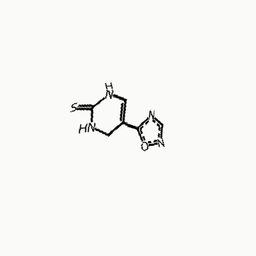 S=C1NC=C(c2ncno2)CN1